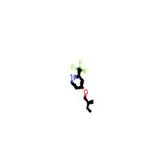 C=C(CC)COc1ccnc(C(F)(F)F)c1